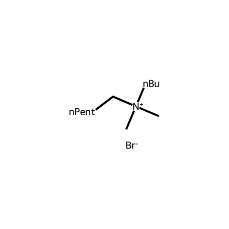 CCCCCC[N+](C)(C)CCCC.[Br-]